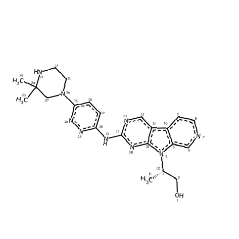 C[C@@H](CO)n1c2cnccc2c2cnc(Nc3ccc(N4CCNC(C)(C)C4)nn3)nc21